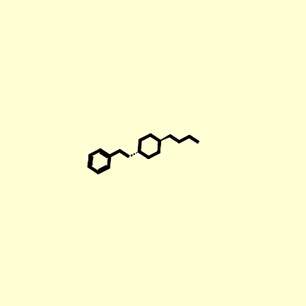 CCCC[C@H]1CC[C@H](CCc2ccccc2)CC1